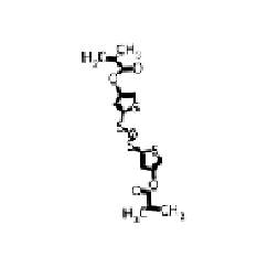 C=C(C)C(=O)Oc1csc(SOSc2cc(OC(=O)C(=C)C)cs2)c1